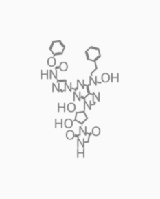 O=C(Nc1cn(-c2nc(N(CO)CCc3ccccc3)c3ncn([C@@H]4C[C@H](N5C(=O)CNC5=O)[C@@H](O)[C@H]4O)c3n2)cn1)Oc1ccccc1